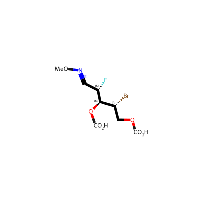 CO/N=C/[C@H](F)[C@H](OC(=O)O)[C@H](Br)COC(=O)O